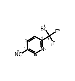 N#Cc1ccc(C(F)(F)Br)nc1